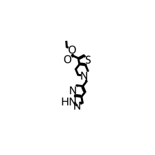 CCOC(=O)c1csc2c1CCN(Cc1cnc3[nH]ncc3c1)C2